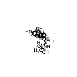 CCC(C)[C@@H](CO)NCCC[C@@H](C)[C@H]1CC[C@H]2[C@@H]3C[C@H](O)[C@@H]4C[C@H](O)CC[C@]4(C)[C@H]3CC[C@]12C